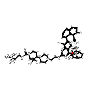 C#Cc1c(F)ccc2cccc(-c3ncc4c(N5CC6CCC(C5)N6C(=O)OC(C)(C)C)nc(OCCN5CCN(C6CCN(C(=O)OCC[Si](C)(C)C)CC6(F)F)CC5)nc4c3F)c12